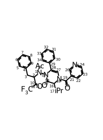 CC(=O)N(C(Cc1ccccc1)C(=O)C(F)(F)F)N1C(=O)C(C(C)C)N(C(=O)c2cccnc2)C=C1c1ccccc1